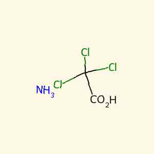 N.O=C(O)C(Cl)(Cl)Cl